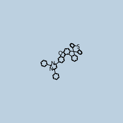 c1ccc(-c2cc(-c3ccc4c(c3)oc3ccc5c(c34)-c3ccccc3C53c4ccccc4Sc4ccccc43)nc(-c3ccccc3)n2)cc1